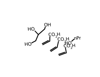 C=CC(=O)O.C=CC(=O)O.C=CC(=O)O.CCCO.OCC(O)CO